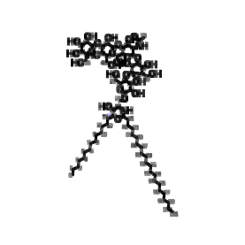 CCCCCCCCCCCCC/C=C/[C@@H](O)[C@H](CO[C@@H]1OC(CO)[C@@H](O[C@@H]2OC(CO)[C@H](O)[C@H](O[C@@H]3OC(CO)[C@@H](O[C@@H]4OC(CO)[C@H](O)[C@H](O[C@H]5OC(CO)[C@H](O)[C@H](O)C5O)C4O)[C@H](O)C3NC(C)=O)C2O)[C@H](O)C1O)NC(=O)CCCCCCCCCCCCCCCCCCCCC